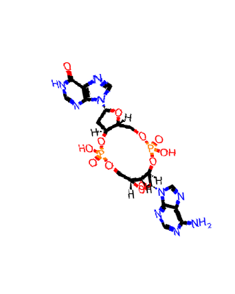 Nc1ncnc2c1ncn2[C@@H]1O[C@@H]2COP(=O)(O)O[C@H]3C[C@H](n4cnc5c(=O)[nH]cnc54)O[C@@H]3COP(=O)(O)O[C@@H]1[C@@H]2O